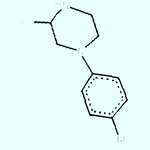 Nc1ccc(N2CCNC(C(F)(F)F)C2)cc1